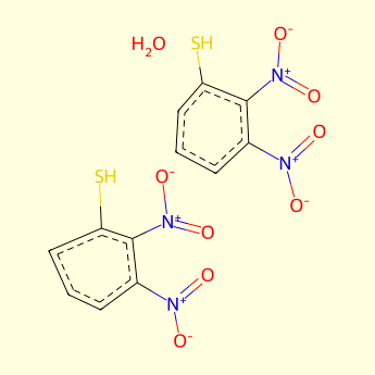 O.O=[N+]([O-])c1cccc(S)c1[N+](=O)[O-].O=[N+]([O-])c1cccc(S)c1[N+](=O)[O-]